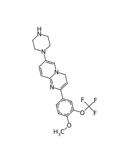 COc1ccc(C2=CCN3C=C(N4CCNCC4)C=CC3=N2)cc1OC(F)(F)F